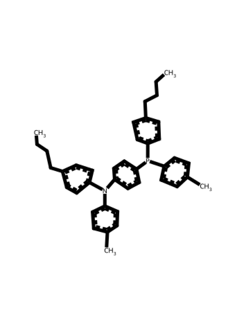 CCCCc1ccc(N(c2ccc(C)cc2)c2ccc(P(c3ccc(C)cc3)c3ccc(CCCC)cc3)cc2)cc1